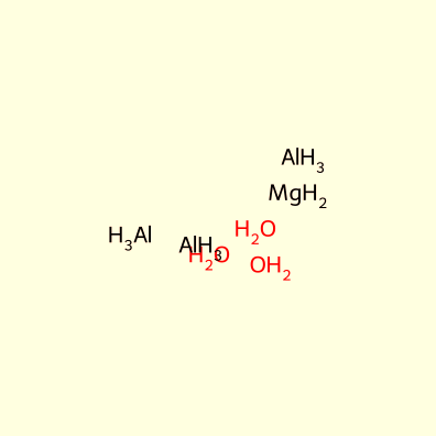 O.O.O.[AlH3].[AlH3].[AlH3].[MgH2]